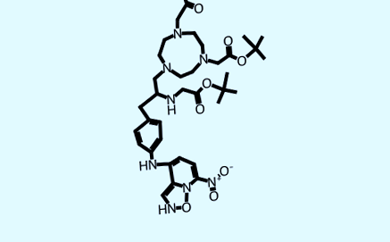 CC(C)(C)OC(=O)CNC(Cc1ccc(NC2=CC=C([N+](=O)[O-])N3ONC=C23)cc1)CN1CCN(CC(=O)O)CCN(CC(=O)OC(C)(C)C)CC1